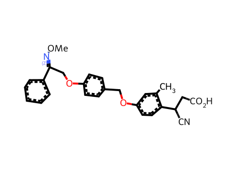 CO/N=C(\COc1ccc(COc2ccc(C(C#N)CC(=O)O)c(C)c2)cc1)c1ccccc1